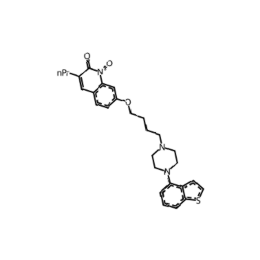 CCCC1=Cc2ccc(OCCCCN3CCN(c4cccc5sccc45)CC3)cc2[N+](=O)C1=O